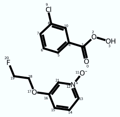 O=C(OO)c1cccc(Cl)c1.[O-][n+]1cccc(OCCF)c1